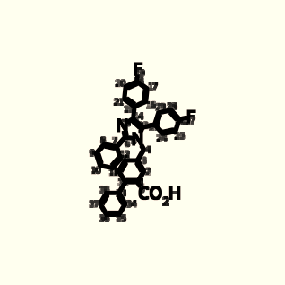 O=C(O)c1cc(Cn2c(-c3ccccc3)nc(-c3ccc(F)cc3)c2-c2ccc(F)cc2)ccc1-c1ccccc1